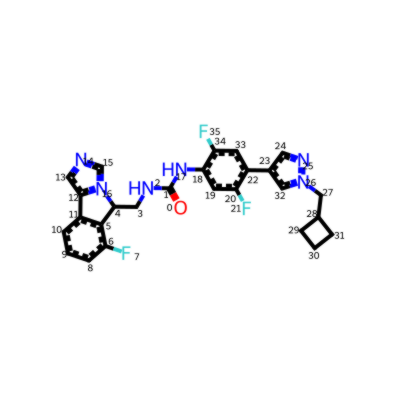 O=C(NCC1c2c(F)cccc2-c2cncn21)Nc1cc(F)c(-c2cnn(CC3CCC3)c2)cc1F